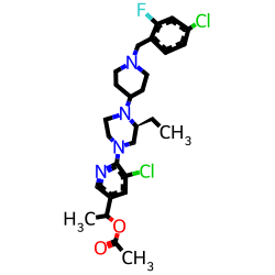 CC[C@H]1CN(c2ncc(C(C)OC(C)=O)cc2Cl)CCN1C1CCN(Cc2ccc(Cl)cc2F)CC1